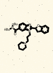 CCCCN(CCCC)C(=O)c1ccc2nc(C3Cc4ccccc4O3)n(CCCN3CCCCC3)c2c1